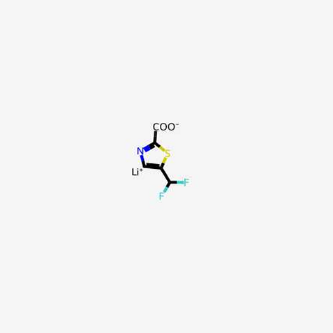 O=C([O-])c1ncc(C(F)F)s1.[Li+]